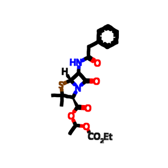 CCOC(=O)OC(C)OC(=O)[C@@H]1N2C(=O)C(NC(=O)Cc3ccccc3)[C@H]2SC1(C)C